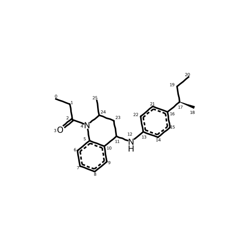 CCC(=O)N1c2ccccc2C(Nc2ccc([C@H](C)CC)cc2)CC1C